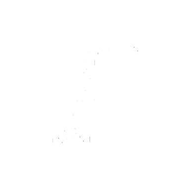 N#CCCOc1ccc(C(F)(F)Oc2ccc(/C=C/C(=O)OCCOC(=O)c3cc(N)cc(N)c3)cc2)cc1